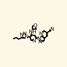 CCCc1cn(-c2cnc(-n3ncc4cc(C#N)cnc43)cc2NC2COC2)nn1